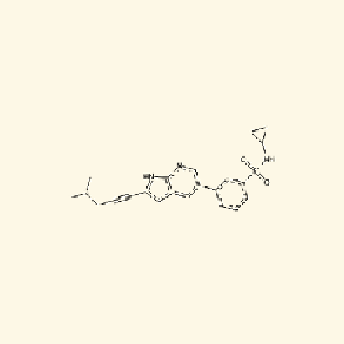 CN(C)CC#Cc1cc2cc(-c3cccc(S(=O)(=O)NC4CC4)c3)cnc2[nH]1